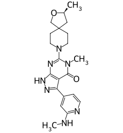 CNc1cc(-c2n[nH]c3nc(N4CCC5(CC4)CO[C@@H](C)C5)n(C)c(=O)c23)ccn1